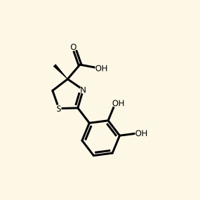 C[C@]1(C(=O)O)CSC(c2cccc(O)c2O)=N1